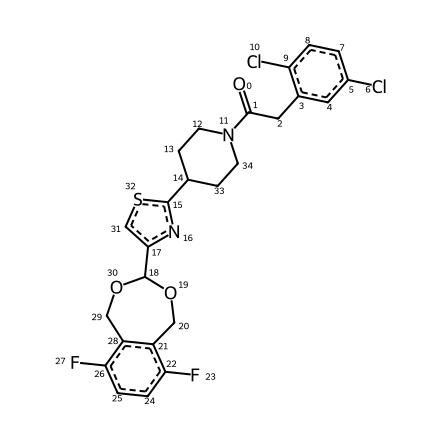 O=C(Cc1cc(Cl)ccc1Cl)N1CCC(c2nc(C3OCc4c(F)ccc(F)c4CO3)cs2)CC1